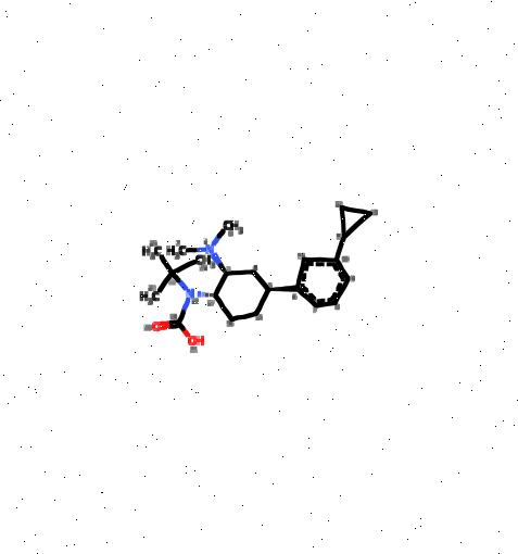 CN(C)[C@H]1C[C@@H](c2cccc(C3CC3)c2)CC[C@@H]1N(C(=O)O)C(C)(C)C